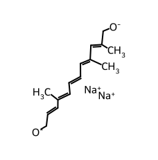 CC(/C=C/C[O-])=C\C=C\C=C(C)\C=C(/C)C[O-].[Na+].[Na+]